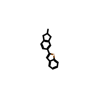 CC1Cc2ccc(-c3cc4ccccc4s3)cc2C1